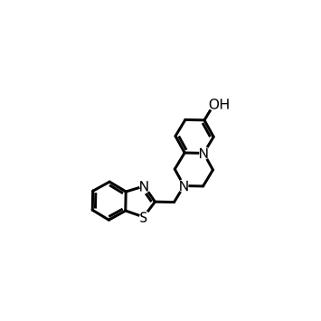 OC1=CN2CCN(Cc3nc4ccccc4s3)CC2=CC1